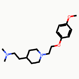 COc1ccc(OCCN2CCC(CCN(C)C)CC2)cc1